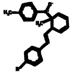 Cc1ccc([S+]([O-])C2(C)C=CC=CC2/C=C/c2ccc(Br)cc2)cc1